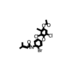 CC(=O)Oc1cc(Cl)c(Oc2ccc(NC(=O)C=C(C)C)c(Br)c2)c(Cl)c1C